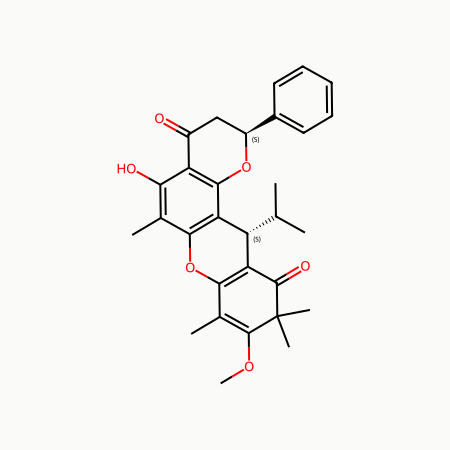 COC1=C(C)C2=C(C(=O)C1(C)C)[C@@H](C(C)C)c1c(c(C)c(O)c3c1O[C@H](c1ccccc1)CC3=O)O2